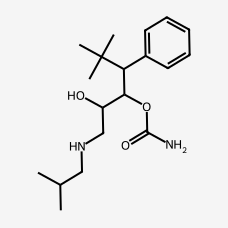 CC(C)CNCC(O)C(OC(N)=O)C(c1ccccc1)C(C)(C)C